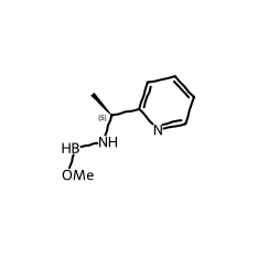 COBN[C@@H](C)c1ccccn1